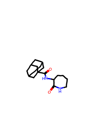 O=C1NCCCCC1NC(=O)C12CC3CC(CC(C3)C1)C2